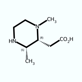 C[C@@H]1NCCN(C)[C@@H]1CC(=O)O